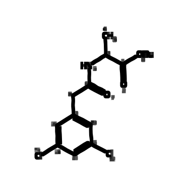 CC(C)COC(=O)C(C)NC(=O)Cc1cc(Cl)cc(Cl)c1